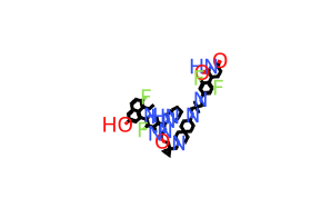 CCc1c(F)ccc2cc(O)cc(-c3ncc4c(N5CC6CCC(C5)N6)nc(OCC5(CN6CCC7(CCC(N8CC9(CN(c%10cc(F)c(C%11CCC(=O)NC%11=O)c(F)c%10)C9)C8)CC7)CC6)CC5)nc4c3F)c12